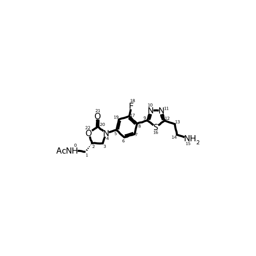 CC(=O)NC[C@H]1CN(c2ccc(-c3nnc(CCN)s3)c(F)c2)C(=O)O1